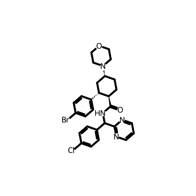 O=C(NC(c1ccc(Cl)cc1)c1ncccn1)[C@@H]1CC[C@@H](N2CCOCC2)C[C@H]1c1ccc(Br)cc1